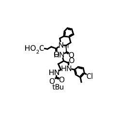 Cc1cc(NC(=O)C(CCNC(=O)OC(C)(C)C)NC(=O)[C@@H]2Cc3ccccc3CN2C(=O)CCC(=O)O)ccc1Cl